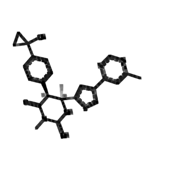 Cc1cc(-c2csc([C@@]3(C)NC(=N)N(C)C(=O)[C@H]3c3ccc(C4(C#N)CC4)cc3)c2)ncn1